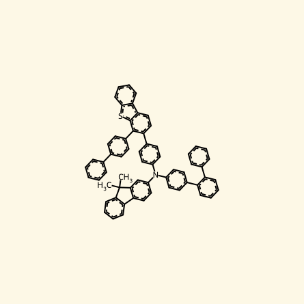 CC1(C)c2ccccc2-c2ccc(N(c3ccc(-c4ccccc4-c4ccccc4)cc3)c3ccc(-c4ccc5c(sc6ccccc65)c4-c4ccc(-c5ccccc5)cc4)cc3)cc21